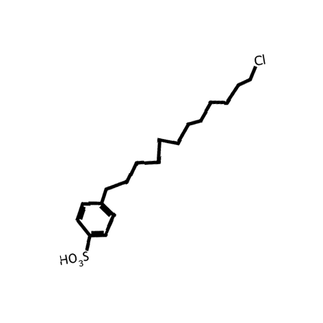 O=S(=O)(O)c1ccc(CCCCCCCCCCCCCl)cc1